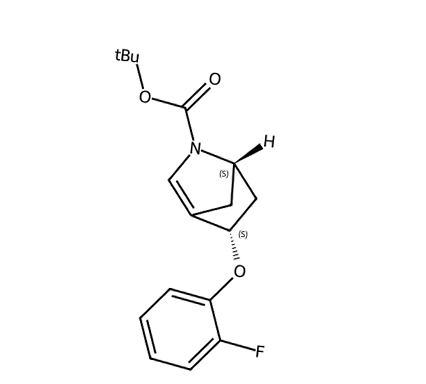 CC(C)(C)OC(=O)N1C=C2C[C@H]1C[C@@H]2Oc1ccccc1F